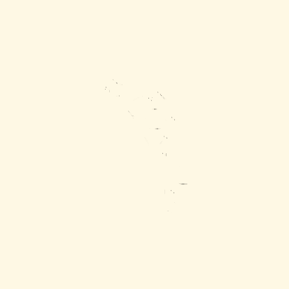 Cn1cc(C2=Cn3ncc(C#N)c3C(c3ccc(N4CCC(C(=O)NOC(C)(C)C)CC4)nc3)C=C2)cn1